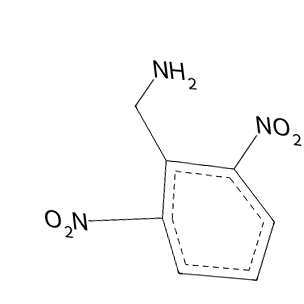 NCc1c([N+](=O)[O-])cccc1[N+](=O)[O-]